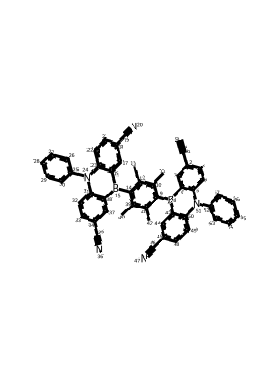 C#Cc1ccc2c(c1)B(c1c(C)c(C)c(B3c4cc(C#N)ccc4N(c4ccccc4)c4ccc(C#N)cc43)c(C)c1C)c1cc(C#N)ccc1N2c1ccccc1